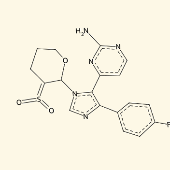 Nc1nccc(-c2c(-c3ccc(F)cc3)ncn2C2OCCCC2=S(=O)=O)n1